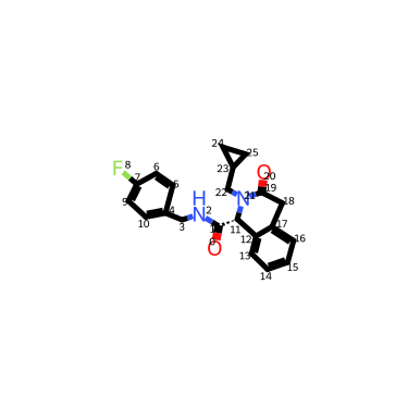 O=C(NCc1ccc(F)cc1)[C@H]1c2ccccc2CC(=O)N1CC1CC1